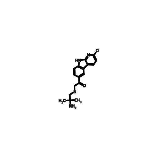 CC(C)(N)CSCC(=O)c1ccc2[nH]c3nc(Cl)ccc3c2c1